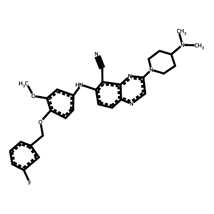 COc1cc(Nc2ccc3ncc(N4CCC(N(C)C)CC4)nc3c2C#N)ccc1OCc1cccc(F)c1